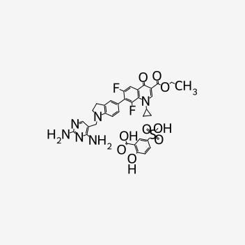 CCOC(=O)c1cn(C2CC2)c2c(F)c(-c3ccc4c(c3)CCN4Cc3cnc(N)nc3N)c(F)cc2c1=O.O=C(O)c1cc(S(=O)(=O)O)ccc1O